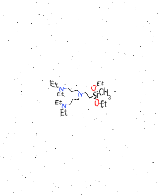 CCO[Si](C)(CCN(CCCN(CC)CC)CCCN(CC)CC)OCC